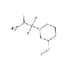 CC(C(F)(F)F)C(F)(F)C1CCCC(CF)C1